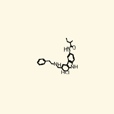 CCC(C)C(=O)Nc1ccc2[nH]c3c(c2c1)CC(CNCCc1ccccc1)CC3.Cl